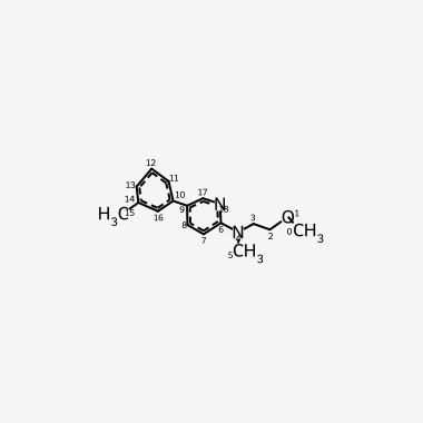 COCCN(C)c1ccc(-c2cccc(C)c2)cn1